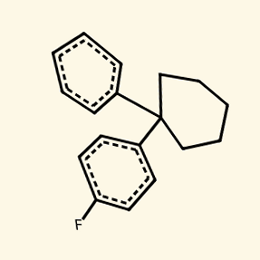 Fc1ccc(C2(c3ccccc3)CCCCC2)cc1